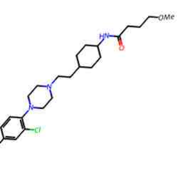 COCCCC(=O)NC1CCC(CCN2CCN(c3ccc(Cl)cc3Cl)CC2)CC1